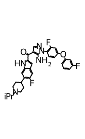 CC(C)N1CCC(c2cc3[nH]c(C(=O)c4cnn(-c5ccc(Oc6cccc(F)c6)cc5F)c4N)cc3cc2F)CC1